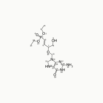 CCOP(=O)(C=CC(CO)OCN1CNc2c1nc(N)[nH]c2=O)OCC